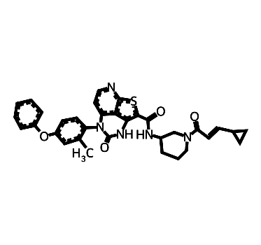 Cc1cc(Oc2ccccc2)ccc1N1C(=O)Nc2c(C(=O)NC3CCCN(C(=O)C=CC4CC4)C3)sc3nccc1c23